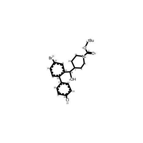 CC(C)(C)OC(=O)N1CCC(C(O)c2cc(Br)ccc2-c2ccc(Cl)cc2)CC1